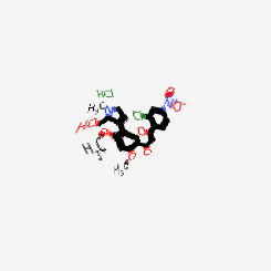 COc1cc(OC)c2c(=O)cc(-c3ccc([N+](=O)[O-])cc3Cl)oc2c1C1CCN(C)C1CO.Cl